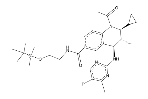 CC(=O)N1c2ccc(C(=O)NCCO[Si](C)(C)C(C)(C)C)cc2[C@H](Nc2ncc(F)c(C)n2)[C@@H](C)[C@@H]1C1CC1